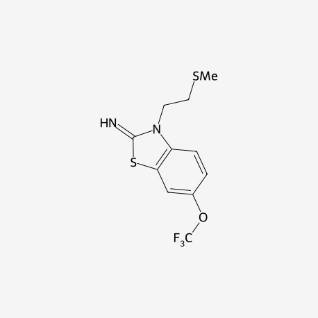 CSCCn1c(=N)sc2cc(OC(F)(F)F)ccc21